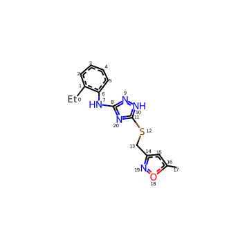 CCc1ccccc1Nc1n[nH]c(SCc2cc(C)on2)n1